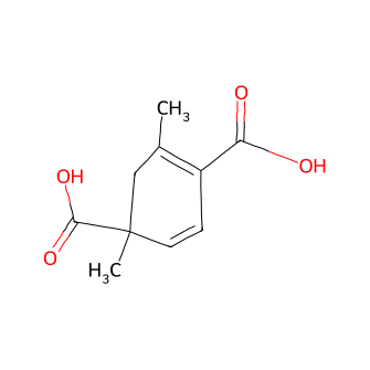 CC1=C(C(=O)O)C=CC(C)(C(=O)O)C1